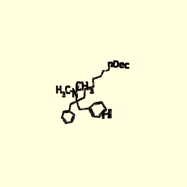 CCCCCCCCCCCCCCCCCC(Cc1ccccc1)(Cc1ccccc1)N(C)C.I